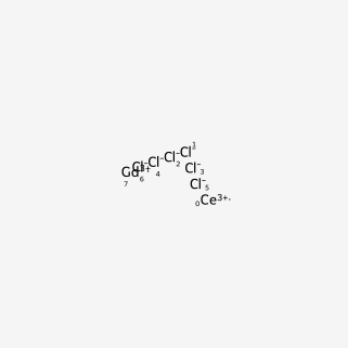 [Ce+3].[Cl-].[Cl-].[Cl-].[Cl-].[Cl-].[Cl-].[Gd+3]